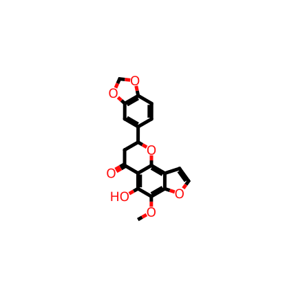 COc1c(O)c2c(c3ccoc13)OC(c1ccc3c(c1)OCO3)CC2=O